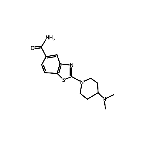 CN(C)C1CCN(c2nc3cc(C(N)=O)ccc3s2)CC1